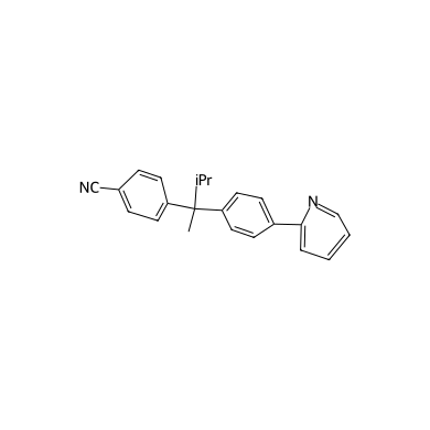 CC(C)C(C)(c1ccc(C#N)cc1)c1ccc(-c2ccccn2)cc1